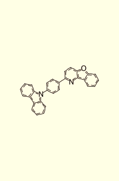 c1ccc2c(c1)oc1ccc(-c3ccc(-n4c5ccccc5c5ccccc54)cc3)nc12